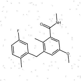 CNC(=O)c1cc(OC)cc(Cc2cc(F)ccc2C)c1C